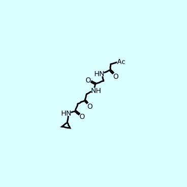 CC(=O)CC(=O)NCC(=O)NCC(=O)CC(=O)NC1CC1